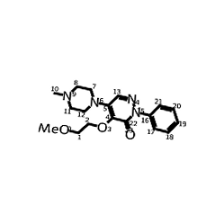 COCCOc1c(N2CCN(C)CC2)cnn(-c2ccccc2)c1=O